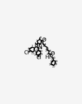 CC1Cc2nc(-c3ccc(Cl)cc3)c(-c3ccc(Cl)cc3)nc2N(CCCCCCC(=O)NCc2ccccc2)C1=O